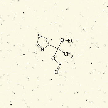 CCOC(C)(OP=O)c1cs[c]n1